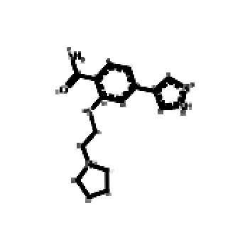 NC(=O)c1ccc(-c2cn[nH]c2)cc1SCCN1CCCC1